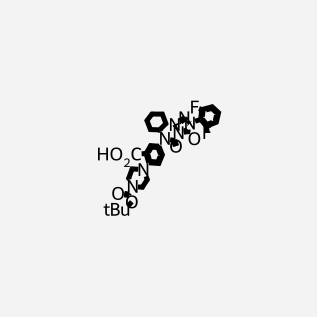 CC(C)(C)OC(=O)N1CCN(c2ccc(N(C(=O)n3nnn(-c4c(F)cccc4F)c3=O)C3CCCCC3)cc2C(=O)O)CC1